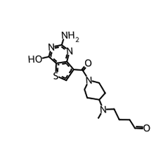 CN(CCCC=O)C1CCN(C(=O)c2csc3c(O)nc(N)nc23)CC1